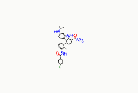 Cc1c(NC(=O)c2ccc(F)cc2)cccc1-c1ccc(C(N)=O)c2[nH]c3cc(NC(C)C)ccc3c12